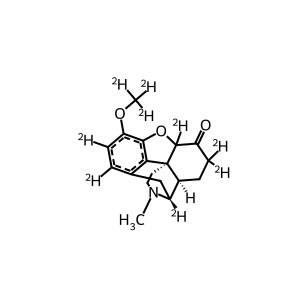 [2H]c1c([2H])c(OC([2H])([2H])[2H])c2c3c1C[C@]1([2H])[C@@H]4CC([2H])([2H])C(=O)C([2H])(O2)[C@]34CCN1C